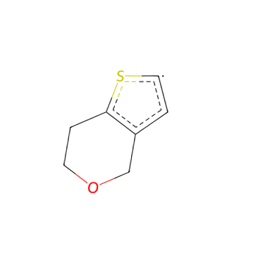 [c]1cc2c(s1)CCOC2